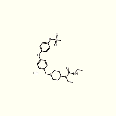 CCNC(=O)N(CC)C1CCN(Cc2ccc(Oc3ccc(NS(C)(=O)=O)cc3)cc2)CC1.Cl